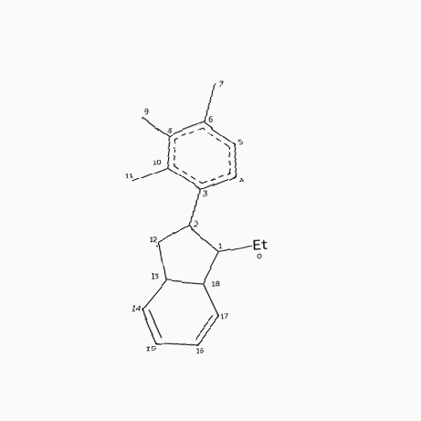 CCC1C(c2ccc(C)c(C)c2C)[C]C2C=CC=CC21